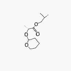 CC(C)COC(=O)[C@@H](C)OC1CCCCO1